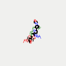 O[C@@H]1CO[C@H]2[C@@H]1OC[C@H]2Oc1[nH]c2ccc(-c3c(F)cc(N4CCOCC4)cc3F)nc2c1C(F)(F)F